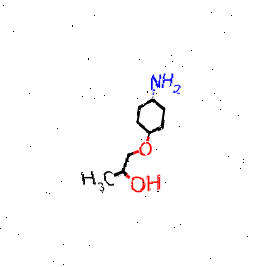 CC(O)CO[C@H]1CC[C@H](N)CC1